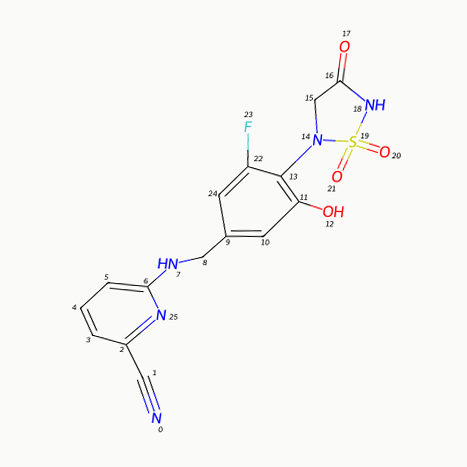 N#Cc1cccc(NCc2cc(O)c(N3CC(=O)NS3(=O)=O)c(F)c2)n1